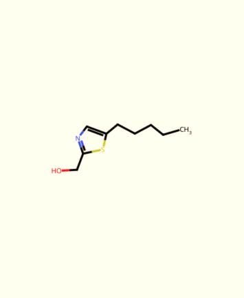 CCCCCc1cnc(CO)s1